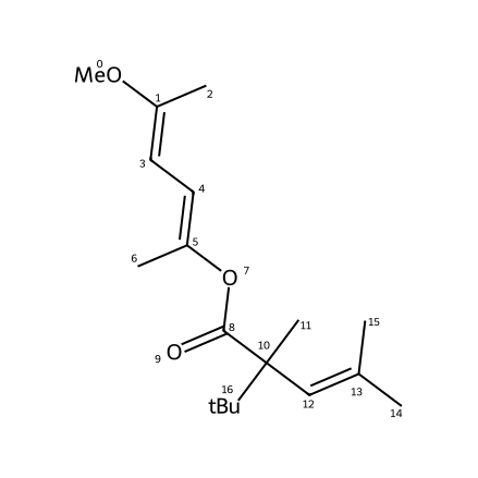 CO/C(C)=C/C=C(\C)OC(=O)C(C)(C=C(C)C)C(C)(C)C